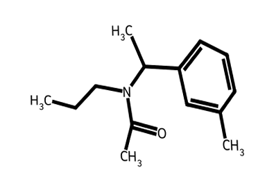 CCCN(C(C)=O)C(C)c1cccc(C)c1